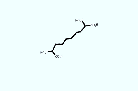 O=C(O)C(CCCCCCC(C(=O)O)C(=O)O)C(=O)O